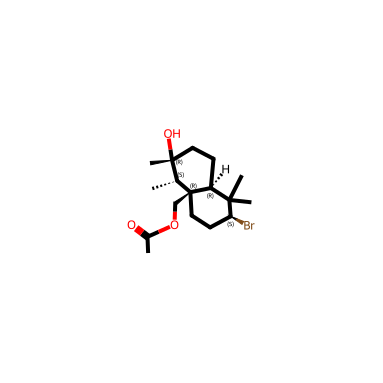 CC(=O)OC[C@]12CC[C@H](Br)C(C)(C)[C@@H]1CC[C@@](C)(O)[C@H]2C